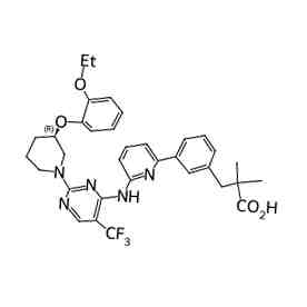 CCOc1ccccc1O[C@@H]1CCCN(c2ncc(C(F)(F)F)c(Nc3cccc(-c4cccc(CC(C)(C)C(=O)O)c4)n3)n2)C1